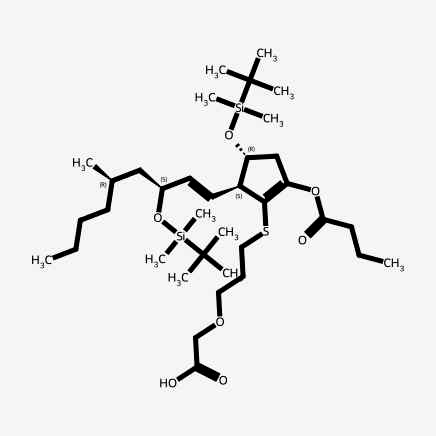 CCCC[C@@H](C)C[C@@H](C=C[C@@H]1C(SCCCOCC(=O)O)=C(OC(=O)CCC)C[C@H]1O[Si](C)(C)C(C)(C)C)O[Si](C)(C)C(C)(C)C